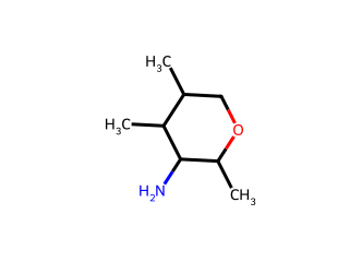 CC1COC(C)C(N)C1C